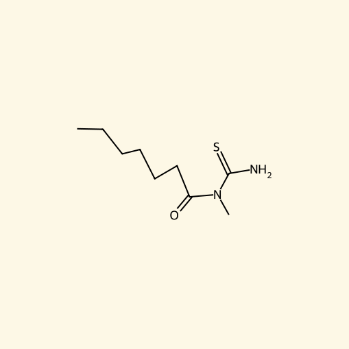 CCCCCCC(=O)N(C)C(N)=S